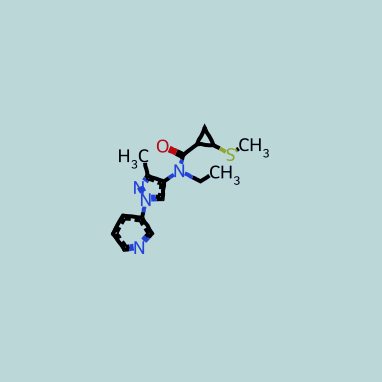 CCN(C(=O)C1CC1SC)c1cn(-c2cccnc2)nc1C